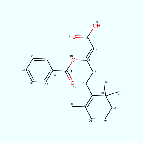 CC1=C(CCC(=CC(=O)O)OC(=O)c2ccccc2)C(C)(C)CCC1